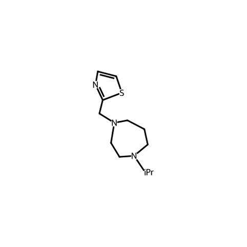 CC(C)N1CCCN(Cc2nccs2)CC1